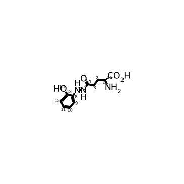 N[C@@H](CCC(=O)NNc1ccccc1O)C(=O)O